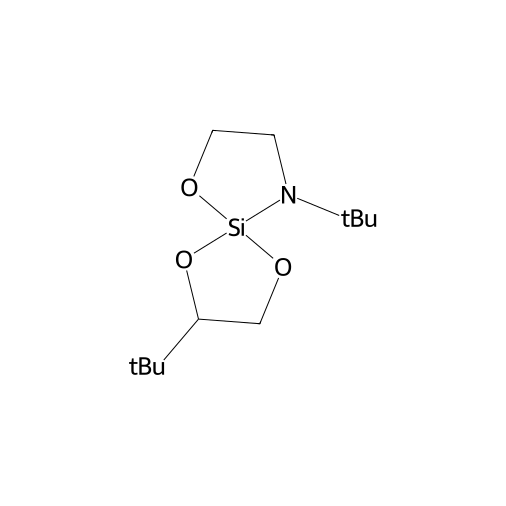 CC(C)(C)C1CO[Si]2(OCCN2C(C)(C)C)O1